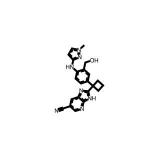 Cn1ccc(Nc2ccc(C3(c4nc5cc(C#N)cnc5[nH]4)CCC3)cc2CO)n1